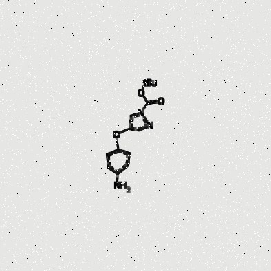 CC(C)(C)OC(=O)n1cc(Oc2ccc(N)cc2)cn1